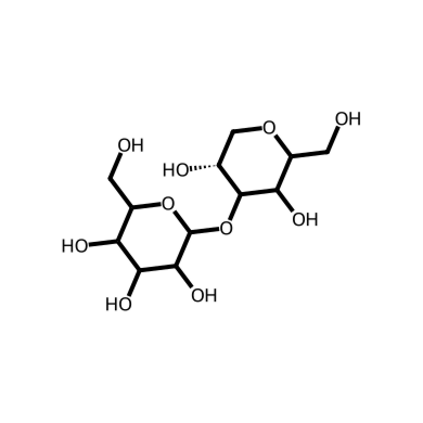 OCC1OC(OC2C(O)C(CO)OC[C@H]2O)C(O)C(O)C1O